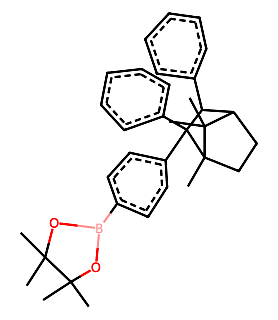 CC1(C)OB(c2ccc(C3(c4ccccc4)C(c4ccccc4)C4CCC3(C)C4(C)C)cc2)OC1(C)C